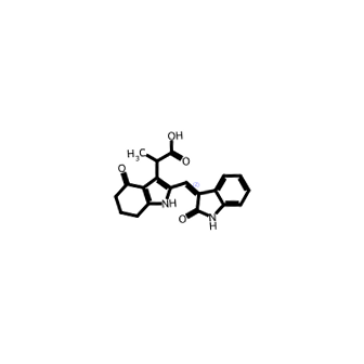 CC(C(=O)O)c1c(/C=C2\C(=O)Nc3ccccc32)[nH]c2c1C(=O)CCC2